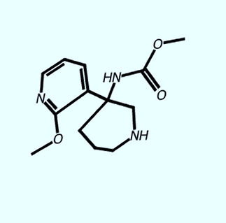 COC(=O)NC1(c2cccnc2OC)CCCNC1